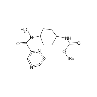 CN(C(=O)c1cnccn1)C1CCC(NC(=O)OC(C)(C)C)CC1